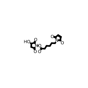 O=C(CCCCCN1C(=O)C=CC1=O)ON1C(=O)CC(O)C1=O